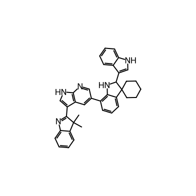 CC1(C)C(c2c[nH]c3ncc(-c4cccc5c4NC(c4c[nH]c6ccccc46)C54CCCCC4)cc23)=Nc2ccccc21